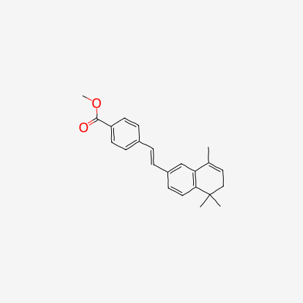 COC(=O)c1ccc(C=Cc2ccc3c(c2)C(C)=CCC3(C)C)cc1